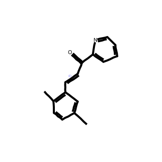 Cc1ccc(C)c(/C=C/C(=O)c2ccccn2)c1